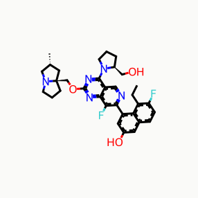 CCc1c(F)ccc2cc(O)cc(-c3ncc4c(N5CCC[C@H]5CO)nc(OC[C@@]56CCCN5C[C@H](C)C6)nc4c3F)c12